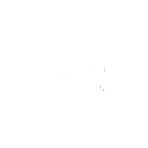 Nc1ccc(OCc2ccccc2)cc1C=O